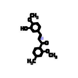 COc1ccc(/C=C/C(=O)c2ccc(C)cc2OC)cc1O